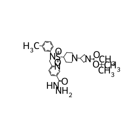 Cc1cccc(N(Cc2ccc(C(=O)NN)cn2)S(=O)(=O)C2CCN(C3CN(C(=O)OC(C)(C)C)C3)CC2)c1